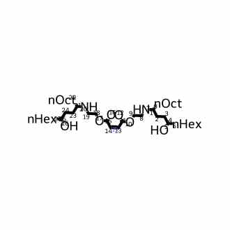 CCCCCCCCC(CCC(O)CCCCCC)NCCOC(=O)/C=C\C(=O)OCCNC(CCCCCCCC)CCC(O)CCCCCC